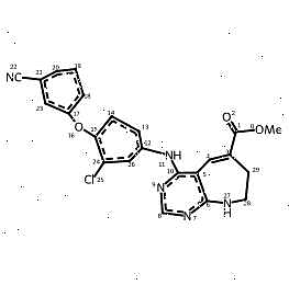 COC(=O)C1=Cc2c(ncnc2Nc2ccc(Oc3cccc(C#N)c3)c(Cl)c2)NCC1